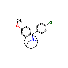 COc1ccc2c(c1)CC1CCC(C2)N(Cc2ccc(Cl)cc2)C1